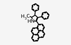 CC1NC(c2ccc3ccc4cccc5ccc2c3c45)=C(c2ccccc2)C1c1ccccc1